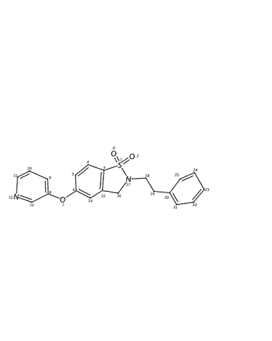 O=S1(=O)c2ccc(Oc3cccnc3)cc2CN1CCc1ccccc1